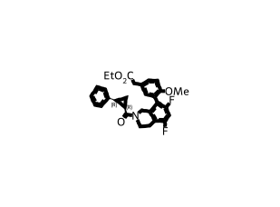 CCOC(=O)Cc1ccc(OC)c(-c2c(F)cc(F)c3c2CN(C(=O)[C@@H]2C[C@H]2c2ccccc2)CC3)c1